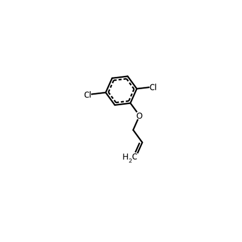 C=CCOc1cc(Cl)ccc1Cl